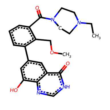 CCN1CCN(C(=O)c2cccc(-c3cc(O)c4nc[nH]c(=O)c4c3)c2COC)CC1